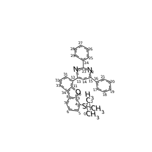 C[Si](C)(C)c1cccc2c1oc1c(-c3cc(-c4ccccc4)nc(-c4ccccc4)n3)cccc12